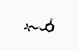 C[Si](C)(C)CCOCC1C=C(Br)C=CC1